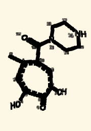 Cc1cc(O)c(=O)c(O)cc1C(=O)N1CCNCC1